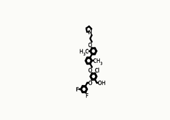 Cc1c(COc2cc(OCc3cc(F)cc(F)c3)c(CO)cc2Cl)cccc1-c1cccc(OCCCN2CCCC2)c1C